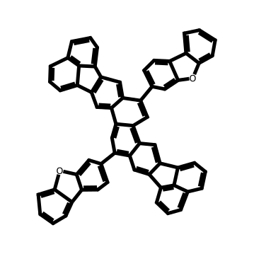 c1cc2c3c(cccc3c1)-c1cc3c(cc1-2)c(-c1ccc2c(c1)oc1ccccc12)cc1c2cc4c(cc2c(-c2ccc5c(c2)oc2ccccc25)cc31)-c1cccc2cccc-4c12